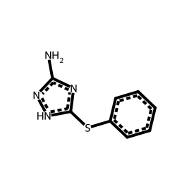 Nc1n[nH]c(Sc2ccccc2)n1